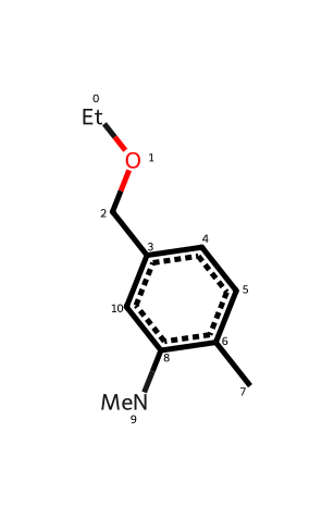 CCOCc1ccc(C)c(NC)c1